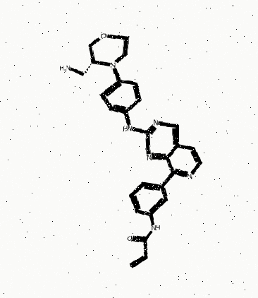 C=CC(=O)Nc1cccc(-c2nccc3cnc(Nc4ccc(N5CCOC[C@H]5CN)cc4)nc23)c1